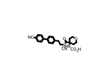 N#Cc1ccc(-c2ccc(CCN(C#N)C(=O)C3(NC(=O)O)CCOCC3)cc2)cc1